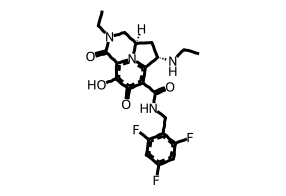 CCN[C@H]1C[C@@H]2CN(CC)C(=O)c3c(O)c(=O)c(C(=O)NCc4c(F)cc(F)cc4F)c1n32